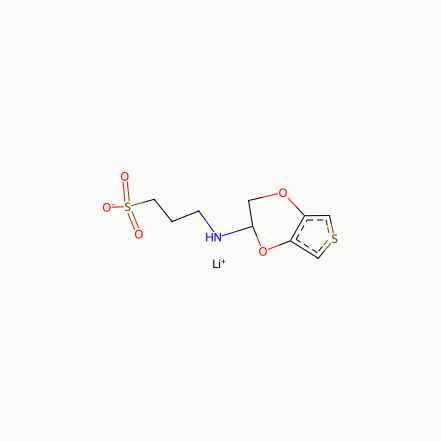 O=S(=O)([O-])CCCNC1COc2cscc2O1.[Li+]